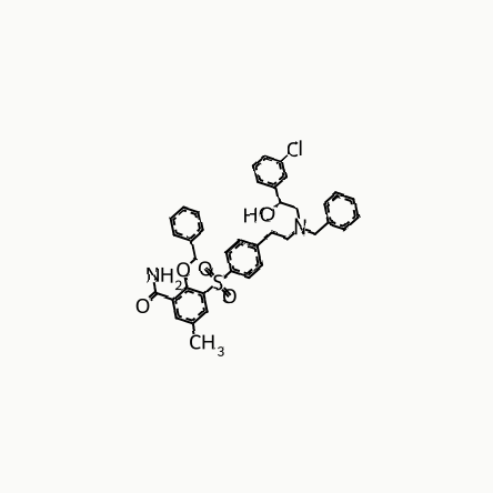 Cc1cc(C(N)=O)c(OCc2ccccc2)c(S(=O)(=O)c2ccc(CCN(Cc3ccccc3)C[C@@H](O)c3cccc(Cl)c3)cc2)c1